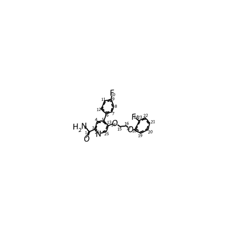 NC(=O)c1cc(-c2ccc(F)cc2)c(OCCOc2ccccc2F)cn1